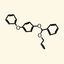 C=CCOC(Oc1ccc(Oc2ccccc2)cc1)c1ccccc1